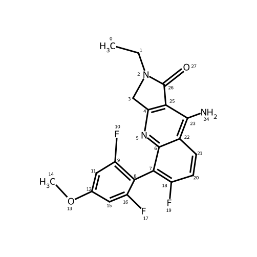 CCN1Cc2nc3c(-c4c(F)cc(OC)cc4F)c(F)ccc3c(N)c2C1=O